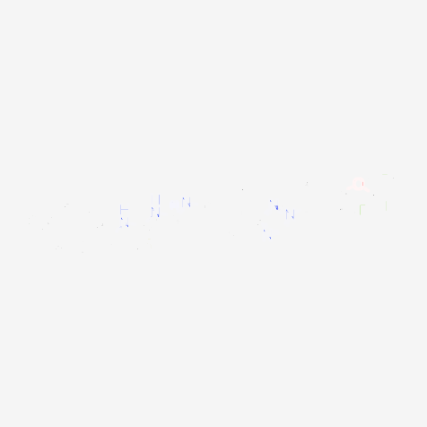 FC(F)(F)Oc1ccc(-n2cnc(-c3ccc(/N=C/NC(=S)NCc4ccc(Cl)cc4)cc3)n2)cc1